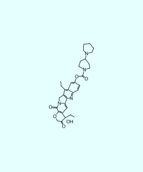 CCc1c2c(nc3ccc(OC(=O)N4CCC(N5CCCCC5)CC4)cc13)-c1cc3c(c(=O)n1C2)OCC(=O)[C@]3(O)CC